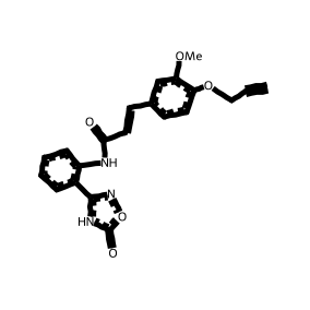 C#CCOc1ccc(/C=C/C(=O)Nc2ccccc2-c2noc(=O)[nH]2)cc1OC